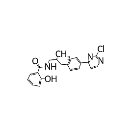 CC(CNC(=O)c1ccccc1O)Cc1ccc(-c2ccnc(Cl)n2)cc1